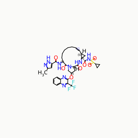 Cc1cc(C(=O)N[C@H]2CCCCC/C=C\[C@@H]3C[C@@]3(C(=O)NS(=O)(=O)C3CC3)NC(=O)[C@@H]3C[C@@H](Oc4nc5ccccc5nc4C(F)(F)F)CN3C2=O)[nH]n1